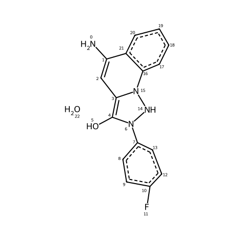 NC1=CC2=C(O)N(c3ccc(F)cc3)NN2c2ccccc21.O